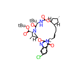 C[C@@H]1C[C@H]2CC/C=C/Cn3c(nc4cc(Cl)ccc4c3=O)O[C@H]3CN(C(=O)[C@H](C(C)(C)C)NC(=O)O[C@@H]2C1)[C@H](C(=O)OC(C)(C)C)[C@@H]3C